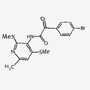 CSc1cc(C)nc(SC)c1NC(=O)C(=O)c1ccc(Br)cc1